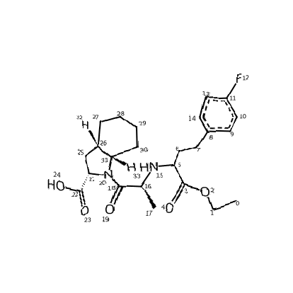 CCOC(=O)C(CCc1ccc(F)cc1)N[C@@H](C)C(=O)N1[C@H](C(=O)O)C[C@@H]2CCCC[C@@H]21